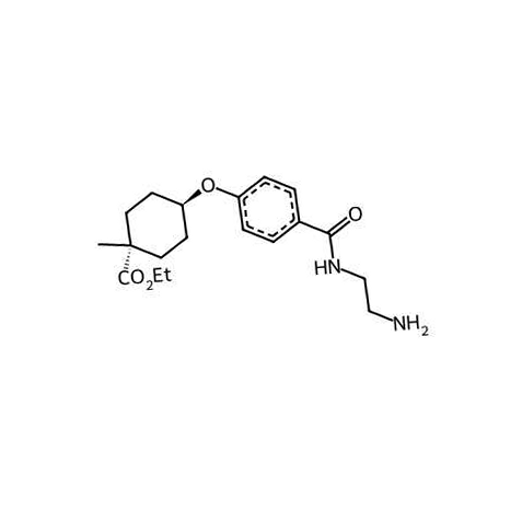 CCOC(=O)[C@]1(C)CC[C@@H](Oc2ccc(C(=O)NCCN)cc2)CC1